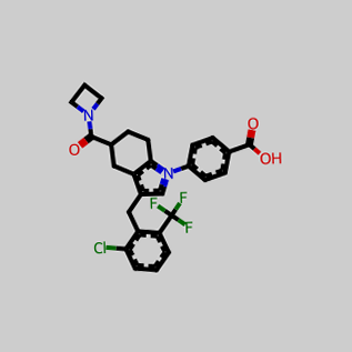 O=C(O)c1ccc(-n2cc(Cc3c(Cl)cccc3C(F)(F)F)c3c2CCC(C(=O)N2CCC2)C3)cc1